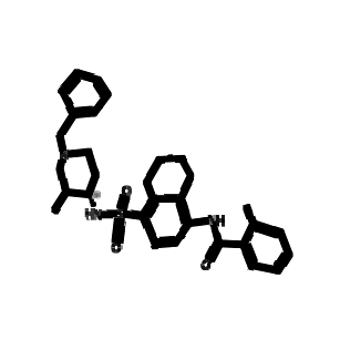 Cc1ccccc1C(=O)Nc1ccc(S(=O)(=O)N[C@H]2CCN(Cc3ccccc3)CC2C)c2c1CCCC2